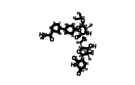 CNC(=O)c1cccc(-c2ccc(OP(=O)(N[C@@H](C)C(=O)OC(C)C)OC[C@H]3O[C@@H](n4ccc(=O)[nH]c4=O)[C@](C)(F)[C@@H]3O)cc2)c1